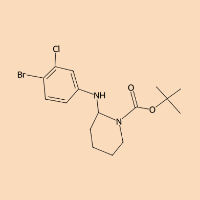 CC(C)(C)OC(=O)N1CCCCC1Nc1ccc(Br)c(Cl)c1